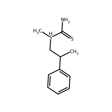 CC(C[SH](C)C(N)=S)c1ccccc1